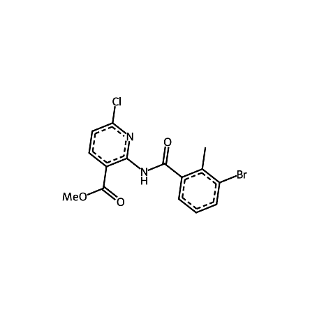 COC(=O)c1ccc(Cl)nc1NC(=O)c1cccc(Br)c1C